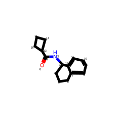 O=C(NC1CCCc2ccccc21)C1CCC1